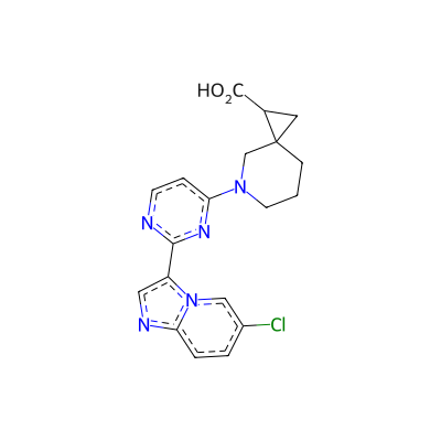 O=C(O)C1CC12CCCN(c1ccnc(-c3cnc4ccc(Cl)cn34)n1)C2